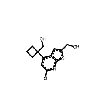 OCc1cc2c(C3(CO)CCC3)cc(Cl)nc2s1